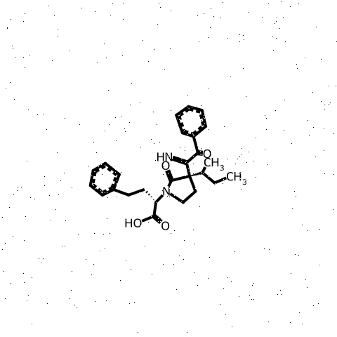 CCC(C)[C@@]1(C(=N)C(=O)c2ccccc2)CCN([C@@H](CCc2ccccc2)C(=O)O)C1=O